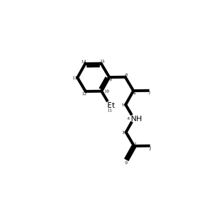 C=C(C)CNCC(C)CC1=C(CC)CCC=C1